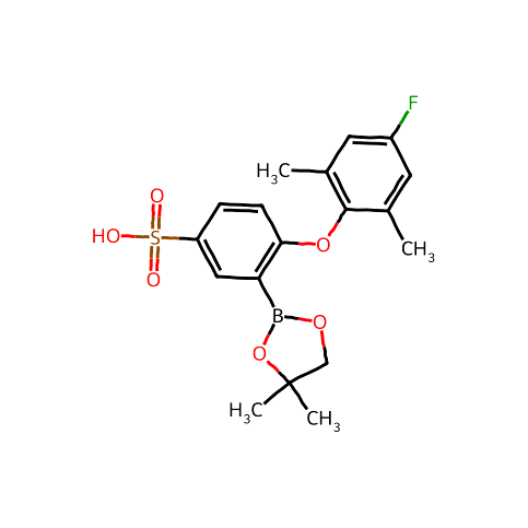 Cc1cc(F)cc(C)c1Oc1ccc(S(=O)(=O)O)cc1B1OCC(C)(C)O1